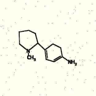 CN1CCCCC1C1=CC=C(N)CC1